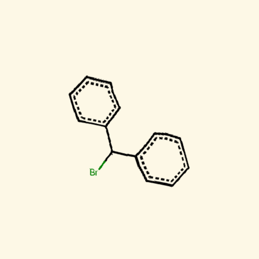 Br[C](c1ccccc1)c1ccccc1